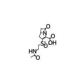 CC(=O)NCC[S+]([O-])C1=C(C(=O)O)N2C(=O)CC2C1